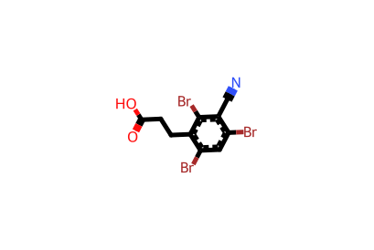 N#Cc1c(Br)cc(Br)c(CCC(=O)O)c1Br